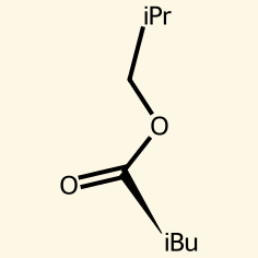 CC[C@H](C)C(=O)OCC(C)C